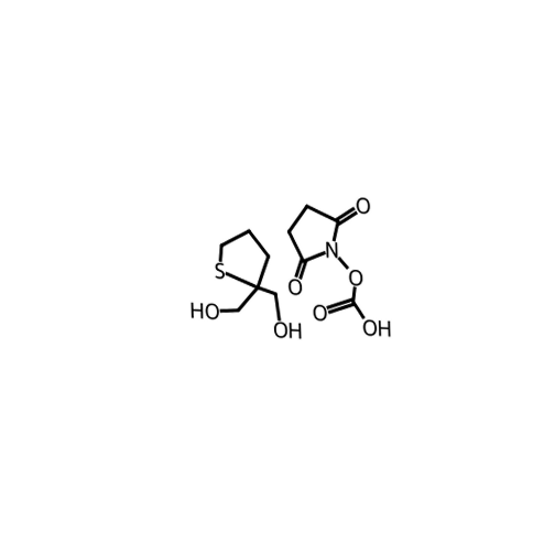 O=C(O)ON1C(=O)CCC1=O.OCC1(CO)CCCS1